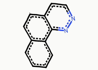 [c]1cc2ccccc2c2nnccc12